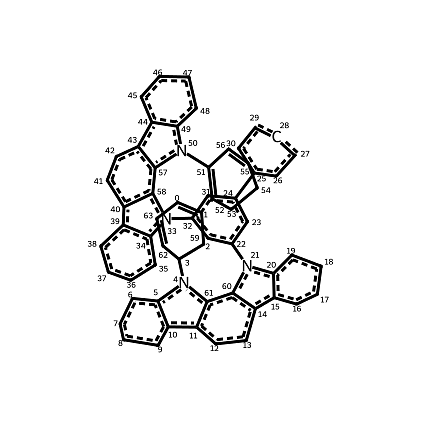 C1=CCC(n2c3ccccc3c3ccc4c5ccccc5n(-c5cc(-c6ccccc6)cc(-n6c7ccccc7c7ccc8c9ccccc9n(C9=CCCC=C9)c8c76)c5)c4c32)C=C1